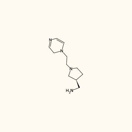 NC[C@@H]1CCN(CCN2C=CN=CC2)C1